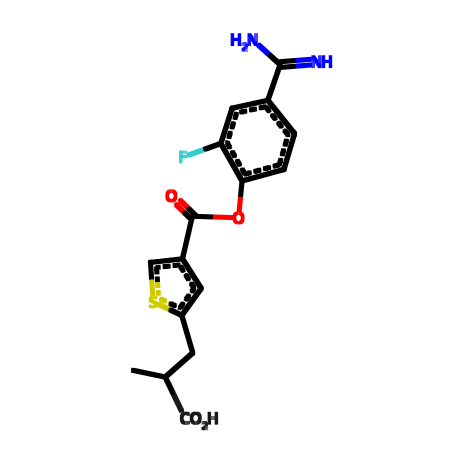 CC(Cc1cc(C(=O)Oc2ccc(C(=N)N)cc2F)cs1)C(=O)O